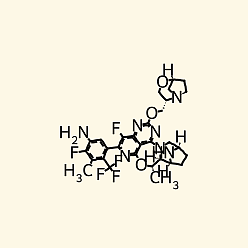 Cc1c(F)c(N)cc(-c2nc3c4c(nc(OC[C@@H]5CO[C@H]6CC[N@]5C6)nc4c2F)N2C[C@H]4CC[C@H](N4)[C@H]2[C@H](C)O3)c1C(F)(F)F